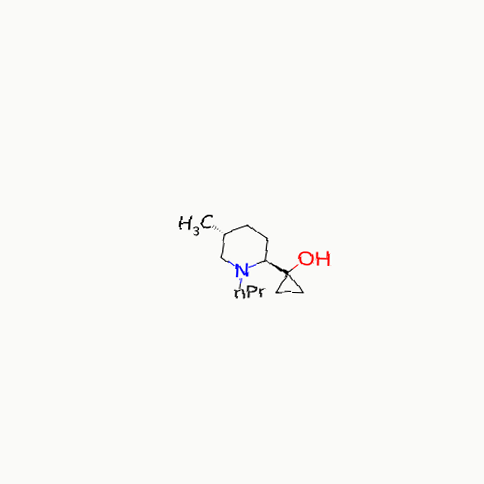 CCCN1C[C@H](C)CC[C@H]1C1(O)CC1